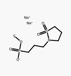 O=P([O-])(CCCN1CCCS1(=O)=O)O[S-].[Na+].[Na+]